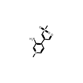 CS1=CC(N)=C(C([C]=O)=CS(C)(=O)=O)C=C1